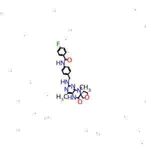 Cc1nc(NCc2ccc(NC(=O)c3ccc(F)cc3)cc2)nc2c1NC(=O)[C@]1(CCOC1)N2C